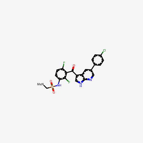 CNCS(=O)(=O)Nc1ccc(F)c(C(=O)c2c[nH]c3ncc(-c4ccc(Cl)cc4)cc23)c1F